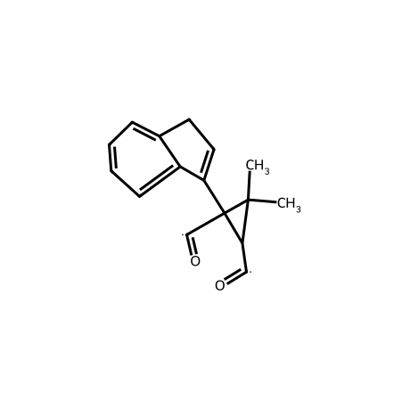 CC1(C)C([C]=O)C1([C]=O)C1=CCc2ccccc21